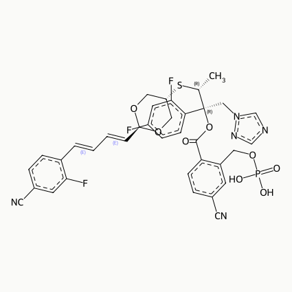 C[C@@H](S[C@H]1CO[C@H](/C=C/C=C/c2ccc(C#N)cc2F)OC1)[C@@](Cn1cncn1)(OC(=O)c1ccc(C#N)cc1COP(=O)(O)O)c1ccc(F)cc1F